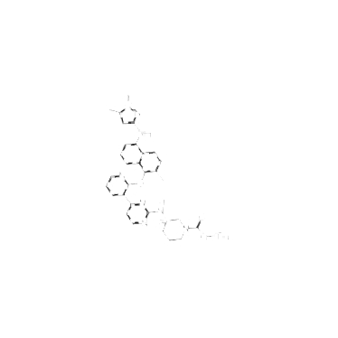 Cc1ccc2c(Nc3cc(C)n(C)n3)cccc2c1Oc1ncccc1-c1ccnc(N[C@H]2CCCN(C(=O)OC(C)(C)C)C2)n1